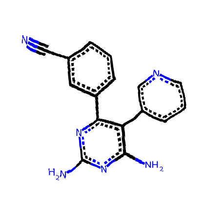 N#Cc1cccc(-c2nc(N)nc(N)c2-c2cccnc2)c1